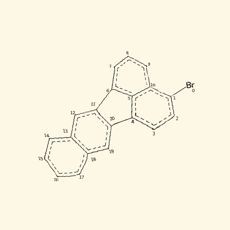 Brc1ccc2c3c(cccc13)-c1cc3ccccc3cc1-2